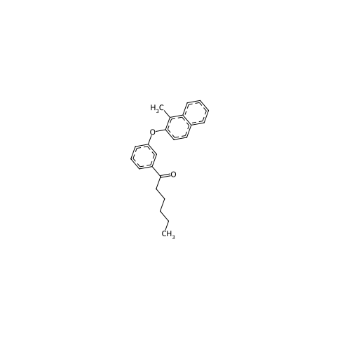 CCCCCC(=O)c1cccc(Oc2ccc3ccccc3c2C)c1